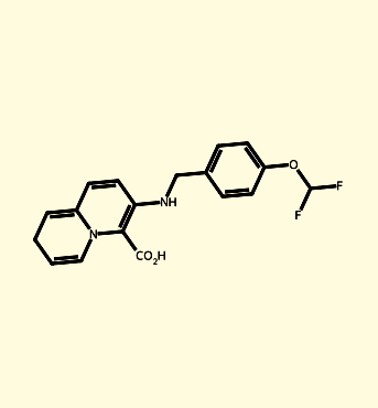 O=C(O)C1=C(NCc2ccc(OC(F)F)cc2)C=CC2=CCC=CN21